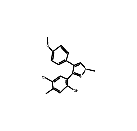 COc1ccc(-c2cn(C)nc2-c2cc(Cl)c(C)cc2O)cc1